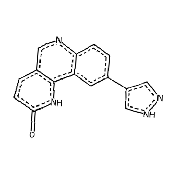 O=c1ccc2cnc3ccc(-c4cn[nH]c4)cc3c2[nH]1